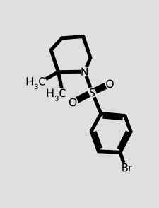 CC1(C)CCCCN1S(=O)(=O)c1ccc(Br)cc1